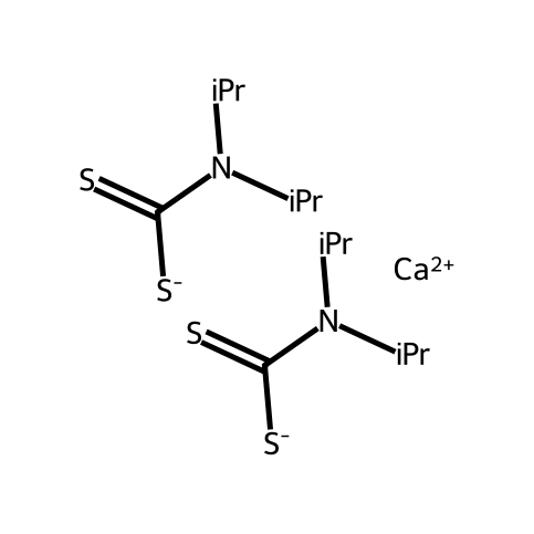 CC(C)N(C(=S)[S-])C(C)C.CC(C)N(C(=S)[S-])C(C)C.[Ca+2]